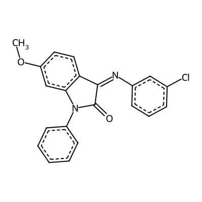 COc1ccc2c(c1)N(c1ccccc1)C(=O)C2=Nc1cccc(Cl)c1